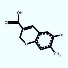 Cc1cc2c(cc1Br)C=C(C(=O)O)CO2